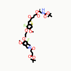 COc1cc2c(c(F)c1OCCCOc1c(OC)cc3sc(C(=O)CCC(=O)O[C@@H](C)CNC(=O)OC(C)(C)C)cc3c1F)CN(C(=O)CCC(=O)OC(C)(C)C)C2